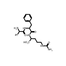 CC(C)C(N)C(=O)NC(Cc1ccccc1)C(=O)NC(CCCNC(N)=O)C(=O)O